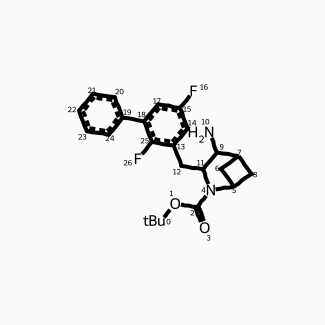 CC(C)(C)OC(=O)N1C2CC(C2)C(N)C1Cc1cc(F)cc(-c2ccccc2)c1F